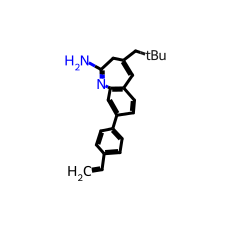 C=Cc1ccc(-c2ccc3c(c2)N=C(N)CC(CC(C)(C)C)=C3)cc1